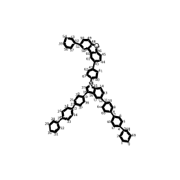 c1ccc(-c2ccc(-c3ccc(-c4ccc5c(c4)c(-c4ccc(-c6ccc(-c7ccccc7)cc6)cc4)cn5-c4ccc(-c5ccc6oc7ccc(-c8ccccc8)cc7c6c5)cc4)cc3)cc2)cc1